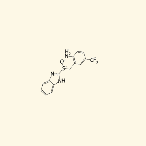 Nc1ccc(C(F)(F)F)cc1C[S+]([O-])c1nc2ccccc2[nH]1